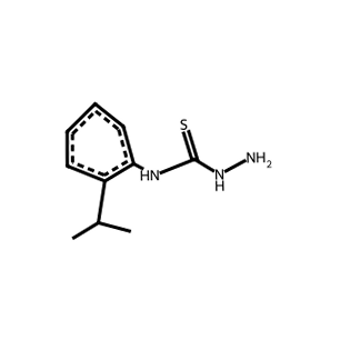 CC(C)c1ccccc1NC(=S)NN